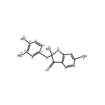 O=C1c2ccc(O)cc2OC1(O)Cc1ccc(O)c(O)c1